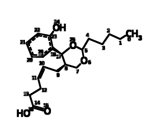 CCCCCC1OC[C@@H](C/C=C\CCC(=O)O)[C@@H](c2ccccc2O)O1